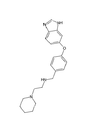 c1nc2ccc(Oc3ccc(CNCCN4CCCCC4)cc3)cc2[nH]1